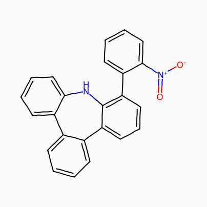 O=[N+]([O-])c1ccccc1-c1cccc2c1Nc1ccccc1-c1ccccc1-2